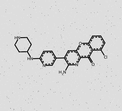 Nc1nc2c(=O)c3c(Cl)cccc3oc2cc1-c1ccc(NC2CCNCC2)nc1